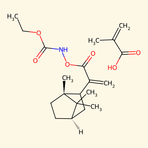 C=C(C(=O)ONC(=O)OCC)C1C[C@H]2CC[C@@]1(C)C2(C)C.C=C(C)C(=O)O